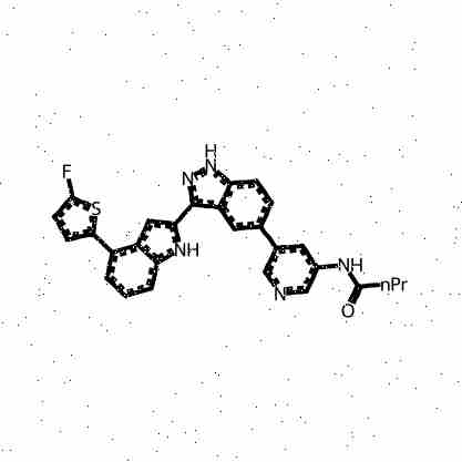 CCCC(=O)Nc1cncc(-c2ccc3[nH]nc(-c4cc5c(-c6ccc(F)s6)cccc5[nH]4)c3c2)c1